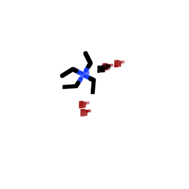 CC[N+](CC)(CC)CC.[Br-].[Br-].[Br-].[Br-].[Ni+2]